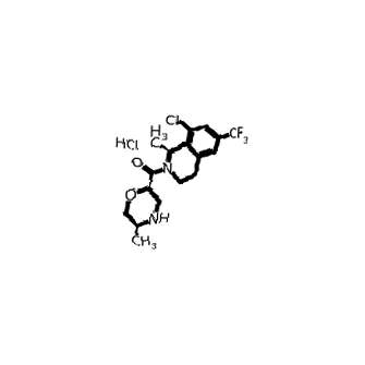 C[C@H]1CO[C@@H](C(=O)N2CCc3cc(C(F)(F)F)cc(Cl)c3[C@@H]2C)CN1.Cl